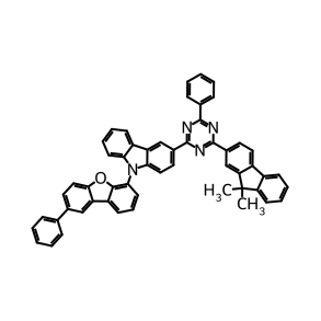 CC1(C)c2ccccc2-c2ccc(-c3nc(-c4ccccc4)nc(-c4ccc5c(c4)c4ccccc4n5-c4cccc5c4oc4ccc(-c6ccccc6)cc45)n3)cc21